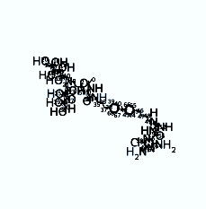 CC(=O)N[C@@H](CCCCN(C[C@H](O)[C@@H](O)[C@H](O)[C@H](O)CO)C[C@H](O)[C@@H](O)[C@H](O)[C@H](O)CO)C(=O)NCCCc1ccc(-c2ccc(CCCCNC(=N)NC(=O)c3nc(Cl)c(N)nc3N)cc2)cc1